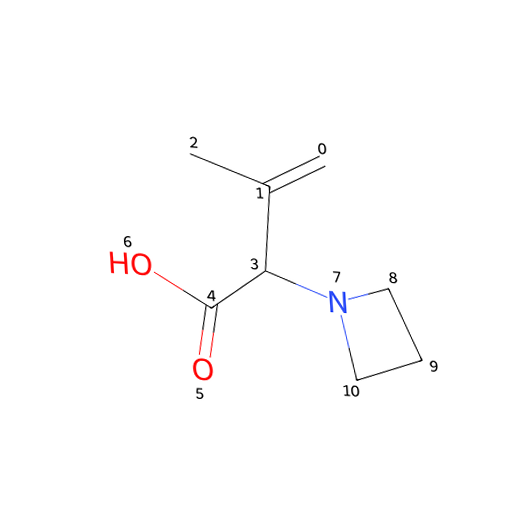 C=C(C)C(C(=O)O)N1CCC1